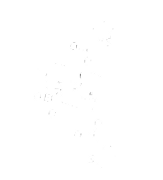 C=C1CCC2[C@](CC)(C(=O)CC3[C@](C)(COC(=O)c4cccs4)CCC[C@]32COC(=O)c2cccs2)C1=O